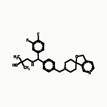 CC(C)(O)CNC(c1ccc(CN2CCC3(CC2)OCc2ccncc23)cc1)c1ccc(F)c(F)c1